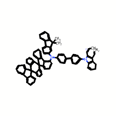 C=Cc1c2c(n(-c3ccc(-c4ccc(N(c5ccc6c(c5)C(C)(C)c5ccccc5-6)c5cccc6c5-c5ccccc5C65C6=C(CCC=C6)C6(c7ccccc7-c7ccccc76)c6ccccc65)cc4)cc3)c1/C=C\C)C=CCC2